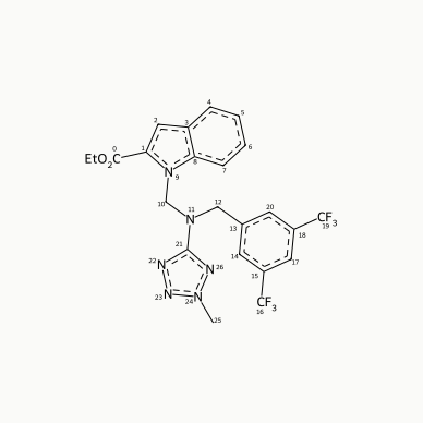 CCOC(=O)c1cc2ccccc2n1CN(Cc1cc(C(F)(F)F)cc(C(F)(F)F)c1)c1nnn(C)n1